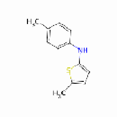 Cc1ccc(Nc2ccc(C)s2)cc1